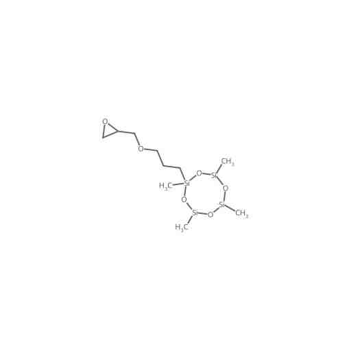 C[Si]1O[Si](C)O[Si](C)(CCCOCC2CO2)O[Si](C)O1